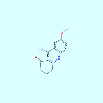 COc1ccc2nc3c(c(N)c2c1)C(=O)CCC3